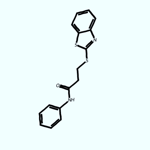 O=C(CCSc1nc2ccccc2s1)Nc1ccccc1